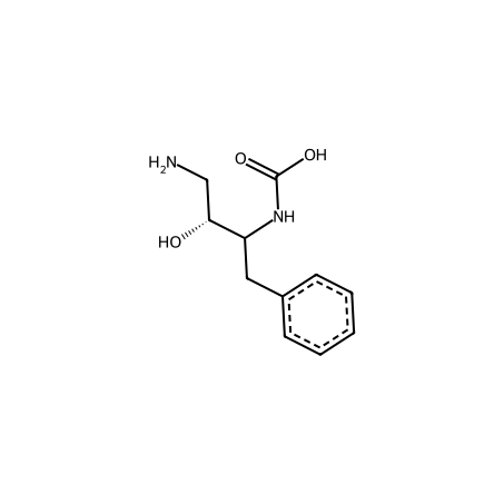 NC[C@@H](O)C(Cc1ccccc1)NC(=O)O